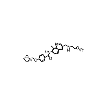 Cc1c(NC(=O)c2ccc(OC[C@@H]3CCCO3)cc2)ccc2cc(CNCCOC(C)C)cnc12